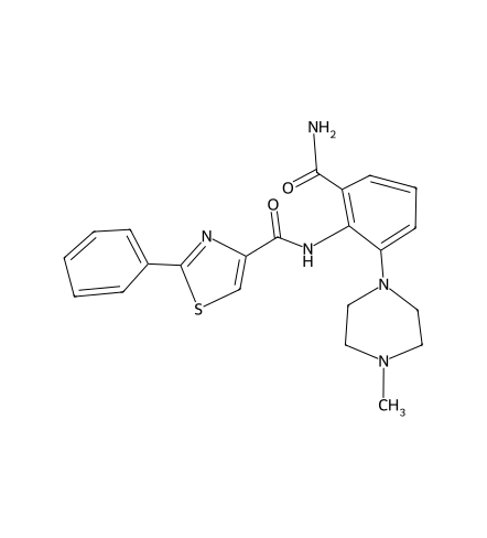 CN1CCN(c2cccc(C(N)=O)c2NC(=O)c2csc(-c3ccccc3)n2)CC1